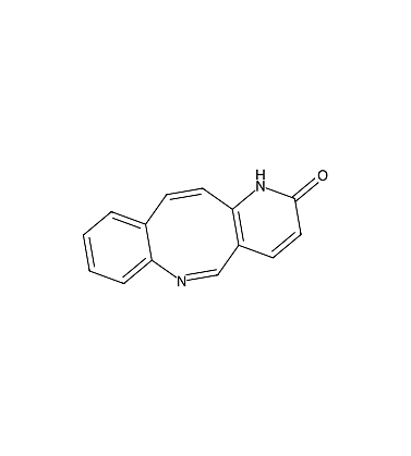 O=c1ccc2c([nH]1)C=Cc1ccccc1N=C2